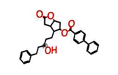 O=C1CC2C(CC(OC(=O)c3ccc(-c4ccccc4)cc3)C2CC[C@@H](O)CCc2ccccc2)O1